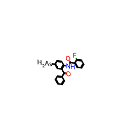 O=C(Nc1ccc([AsH2])cc1C(=O)c1ccccc1)c1ccccc1F